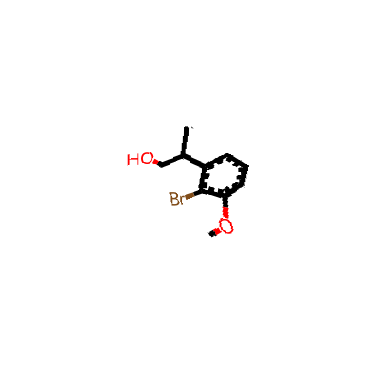 [CH2]C(CO)c1cccc(OC)c1Br